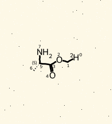 [2H]COC(=O)[C@H](C)N